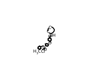 Cc1cccc(CN(C(=O)CCl)c2ccc(Oc3ccc(OBC4CCCCCCCCCC4)cc3)cc2)c1